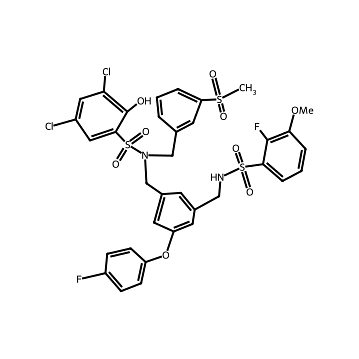 COc1cccc(S(=O)(=O)NCc2cc(CN(Cc3cccc(S(C)(=O)=O)c3)S(=O)(=O)c3cc(Cl)cc(Cl)c3O)cc(Oc3ccc(F)cc3)c2)c1F